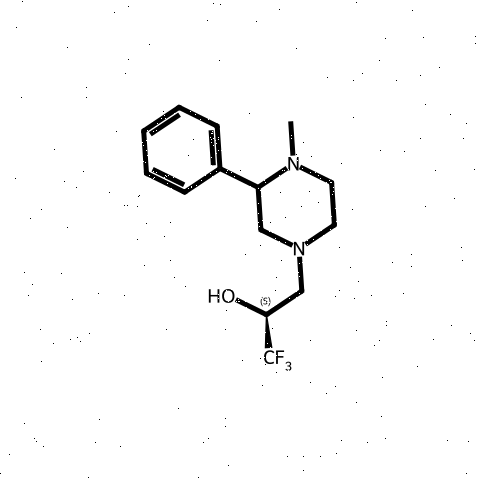 CN1CCN(C[C@H](O)C(F)(F)F)CC1c1ccccc1